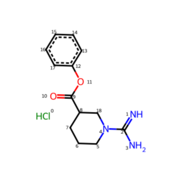 Cl.N=C(N)N1CCCC(C(=O)Oc2ccccc2)C1